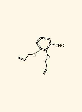 C=CCOc1cccc(C=O)c1OCC=C